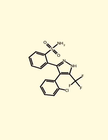 NS(=O)(=O)c1ccccc1-c1n[nH]c(C(F)(F)F)c1-c1ccccc1Cl